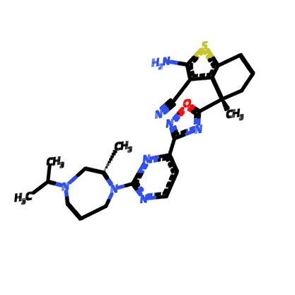 CC(C)N1CCCN(c2nccc(-c3noc([C@@]4(C)CCCc5sc(N)c(C#N)c54)n3)n2)[C@@H](C)C1